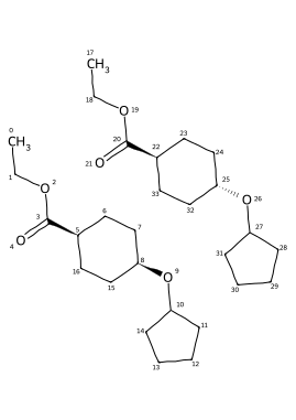 CCOC(=O)[C@H]1CC[C@@H](OC2CCCC2)CC1.CCOC(=O)[C@H]1CC[C@H](OC2CCCC2)CC1